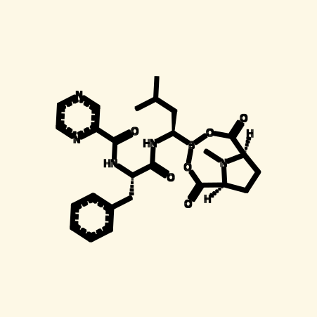 CC(C)C[C@H](NC(=O)[C@H](Cc1ccccc1)NC(=O)c1cnccn1)B1OC(=O)[C@H]2CC[C@@H](C(=O)O1)N2C